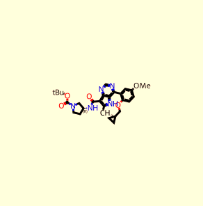 COc1ccc(OCC2CC2)c(-c2ncnc3c(C(=O)N[C@@H]4CCN(C(=O)OC(C)(C)C)C4)c(C)[nH]c23)c1